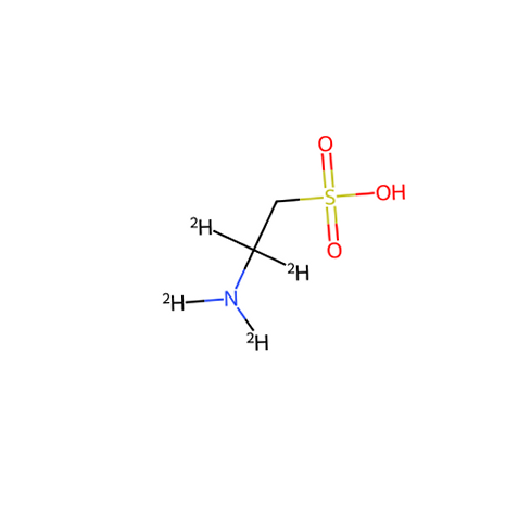 [2H]N([2H])C([2H])([2H])CS(=O)(=O)O